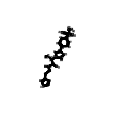 CC(C)[C@@H](C(=O)NCCc1ccsc1)n1cc(-c2ccc(S(N)(=O)=O)cc2)nn1